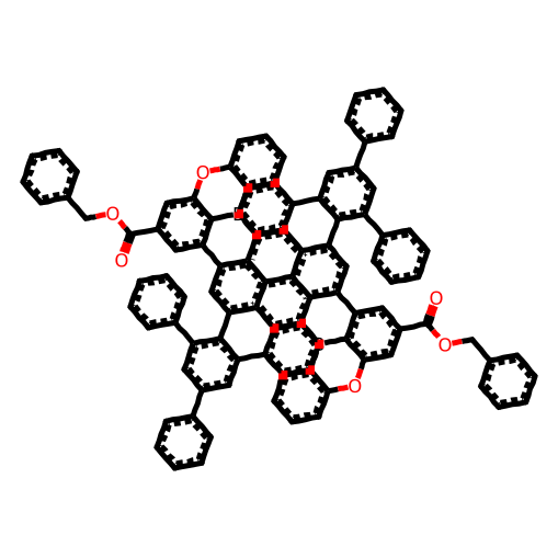 O=C(OCc1ccccc1)c1cc2c3c(c1)-c1cc(-c4c(-c5ccccc5)cc(-c5ccccc5)cc4-c4ccccc4)c4cc5c6c(cc(-c7c(-c8ccccc8)cc(-c8ccccc8)cc7-c7ccccc7)c7cc(c1c4c76)B3c1ccccc1O2)-c1cc(C(=O)OCc2ccccc2)cc2c1B5c1ccccc1O2